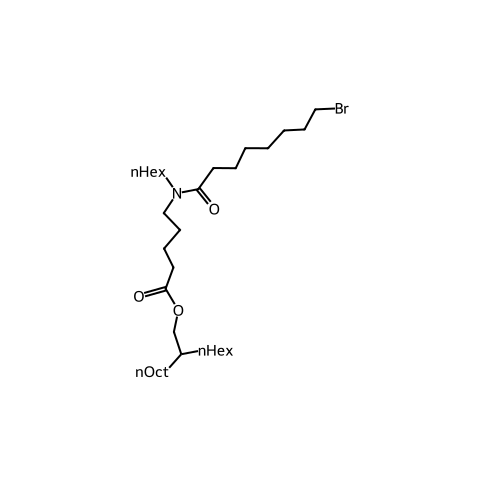 CCCCCCCCC(CCCCCC)COC(=O)CCCCN(CCCCCC)C(=O)CCCCCCCBr